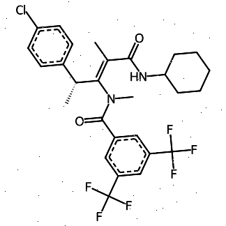 CC(C(=O)NC1CCCCC1)=C([C@H](C)c1ccc(Cl)cc1)N(C)C(=O)c1cc(C(F)(F)F)cc(C(F)(F)F)c1